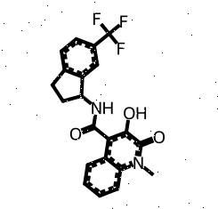 Cn1c(=O)c(O)c(C(=O)NC2CCc3ccc(C(F)(F)F)cc32)c2ccccc21